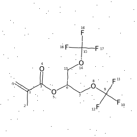 C=C(C)C(=O)OC(COC(F)(F)F)COC(F)(F)F